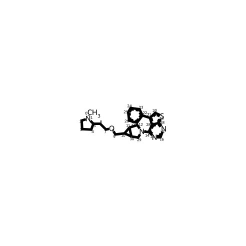 CN1CCCC1CCOCC1C2CN(c3ncnc4scc(-c5ccccc5)c34)CC12